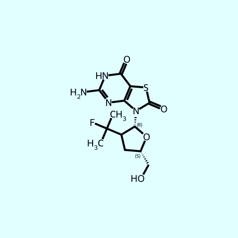 CC(C)(F)C1C[C@@H](CO)O[C@H]1n1c(=O)sc2c(=O)[nH]c(N)nc21